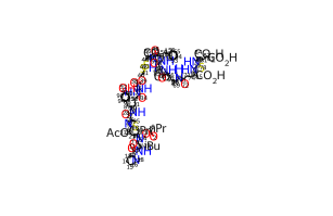 CCCC(=O)OCN(C(=O)[C@@H](NC(=O)[C@H]1CCCCN1C)C(C)CC)[C@H](C[C@@H](OC(C)=O)c1nc(C(=O)N[C@H](CCC(=O)NNC(=O)OCCSSC[C@H](NC(=O)[C@H](Cc2ccccc2)NC(=O)[C@H](CC(=O)O)NC(=O)CC[C@@H](C)NC(=O)CC[C@H](NC(=S)N[C@@H](CCC(=O)O)C(=O)O)C(=O)O)C(=O)O)Cc2ccc(O)cc2)cs1)C(C)C